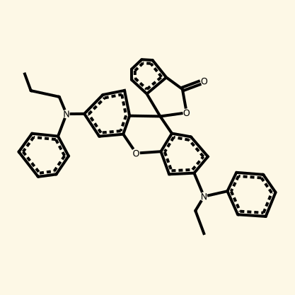 CCCN(c1ccccc1)c1ccc2c(c1)Oc1cc(N(CC)c3ccccc3)ccc1C21OC(=O)c2ccccc21